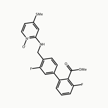 COC(=O)c1c(F)cccc1-c1ccc(CNc2cc(SC)cc[n+]2[O-])c(F)c1